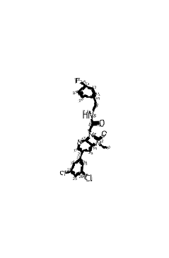 Cn1c(=O)n(CC(=O)NCc2ccc(F)cc2)c2ncc(-c3cc(Cl)cc(Cl)c3)cc21